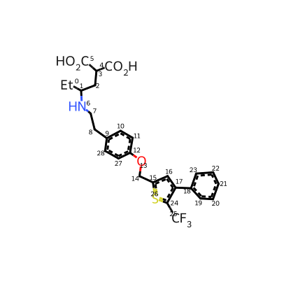 CCC(CC(C(=O)O)C(=O)O)NCCc1ccc(OCc2cc(-c3ccccc3)c(C(F)(F)F)s2)cc1